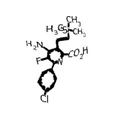 C[Si](C)(C)/C=C/c1c(C(=O)O)nc(-c2ccc(Cl)cc2)c(F)c1N